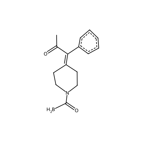 BC(=O)N1CCC(=C(C(C)=O)c2ccccc2)CC1